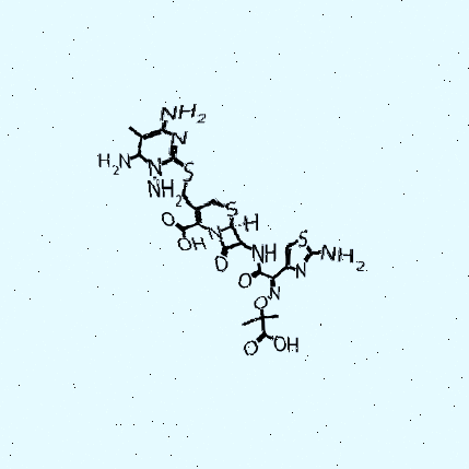 CC1=C(N)N=C(SCC2=C(C(=O)O)N3C(=O)C(NC(=O)/C(=N\OC(C)(C)C(=O)O)c4csc(N)n4)[C@@H]3SC2)N(N)C1N